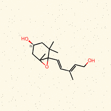 CC(C=CC12OC1(C)C[C@@H](O)CC2(C)C)=CCO